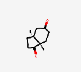 C[C@]12CCC(=O)C[C@@H]1CCC2=O